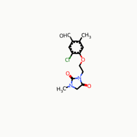 Cc1cc(OCCN2C(=O)CN(C)C2=O)c(Cl)cc1C=O